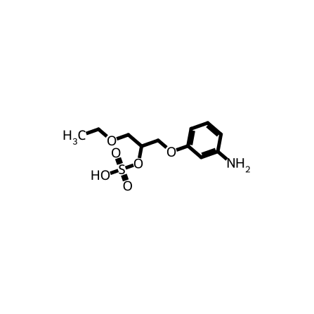 CCOCC(COc1cccc(N)c1)OS(=O)(=O)O